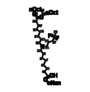 CCCCCCCCCOC(O)CCCCCCCN(CCCCCCCC(=O)OC(CCCCCCCC)CCCCCCCC)CCCC(C)(F)F